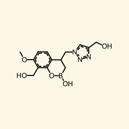 COc1ccc2c(c1CO)OB(O)CC2Cn1cc(CO)nn1